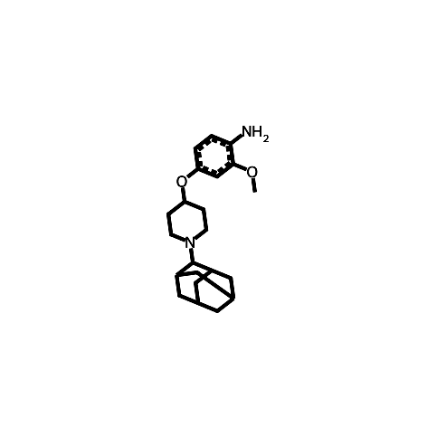 COc1cc(OC2CCN(C3C4CC5CC(C4)CC3C5)CC2)ccc1N